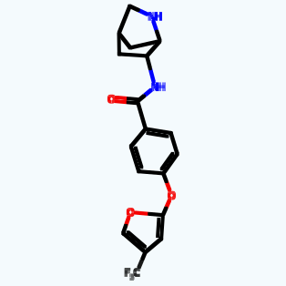 O=C(NC1CC2CNC1C2)c1ccc(Oc2cc(C(F)(F)F)co2)cc1